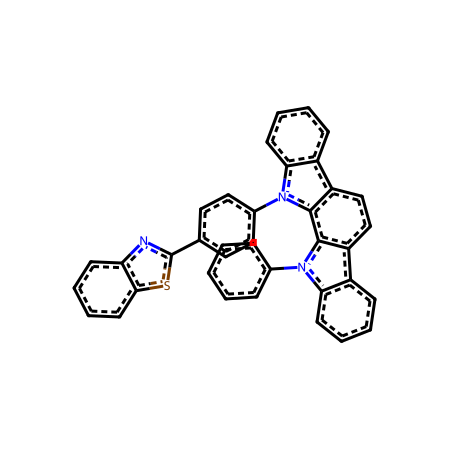 c1ccc(-n2c3ccccc3c3ccc4c5ccccc5n(-c5ccc(-c6nc7ccccc7s6)cc5)c4c32)cc1